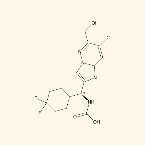 O=C(O)N[C@H](c1cn2nc(CO)c(Cl)cc2n1)C1CCC(F)(F)CC1